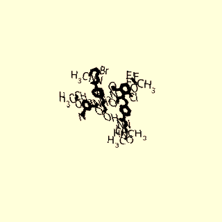 CCn1cc(-c2ccc(CC(CCO)c3c(C(N)=O)ccc(OC(C)C(F)(F)F)c3Cl)cc2)nc1C(C)NC(C)=O.Cc1ccc(Br)c2nc(-c3ccc(CC(CCO)NC(=O)c4ccc(OC(C)C)c(C#N)c4)cc3)cn12